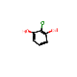 Oc1[c]ccc(O)c1Cl